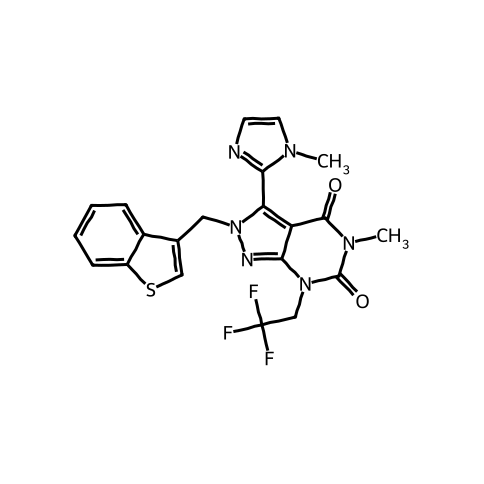 Cn1ccnc1-c1c2c(=O)n(C)c(=O)n(CC(F)(F)F)c2nn1Cc1csc2ccccc12